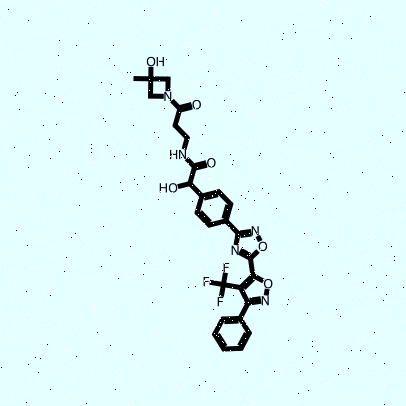 CC1(O)CN(C(=O)CCNC(=O)C(O)c2ccc(-c3noc(-c4onc(-c5ccccc5)c4C(F)(F)F)n3)cc2)C1